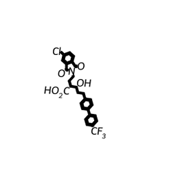 O=C(O)[C@@H](CCN1C(=O)c2ccc(Cl)cc2C1=O)[C@H](O)CCc1ccc(-c2ccc(C(F)(F)F)cc2)cc1